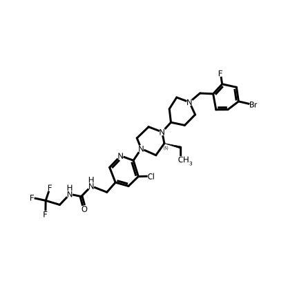 CC[C@H]1CN(c2ncc(CNC(=O)NCC(F)(F)F)cc2Cl)CCN1C1CCN(Cc2ccc(Br)cc2F)CC1